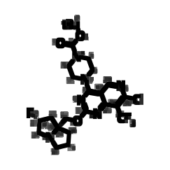 CC(C)(C)OC(=O)N1CCN(c2nc(OC[C@@]34CCCN3C[C@H](F)C4)nc3c(C(F)(F)F)c(Cl)ncc23)CC1